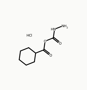 Cl.NNC(=O)OC(=O)C1CCCCC1